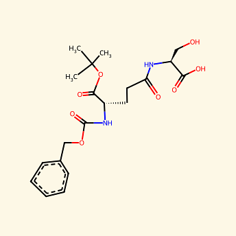 CC(C)(C)OC(=O)[C@H](CCC(=O)N[C@@H](CO)C(=O)O)NC(=O)OCc1ccccc1